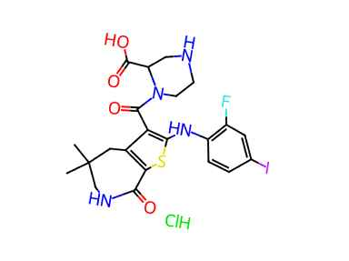 CC1(C)CNC(=O)c2sc(Nc3ccc(I)cc3F)c(C(=O)N3CCNCC3C(=O)O)c2C1.Cl